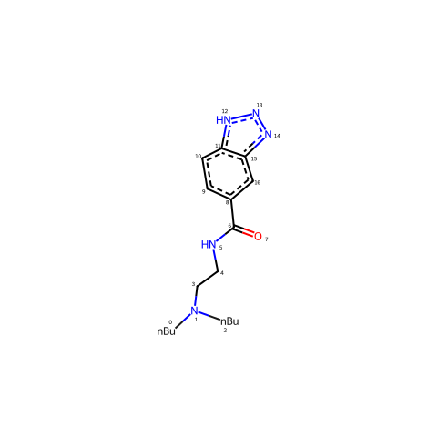 CCCCN(CCCC)CCNC(=O)c1ccc2[nH]nnc2c1